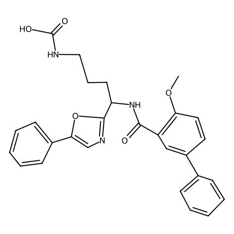 COc1ccc(-c2ccccc2)cc1C(=O)NC(CCCNC(=O)O)c1ncc(-c2ccccc2)o1